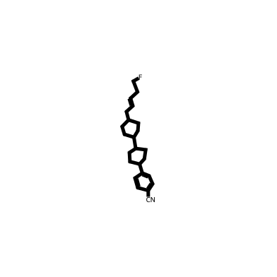 N#Cc1ccc(C2CCC(C3CCC(CC=CCCF)CC3)CC2)cc1